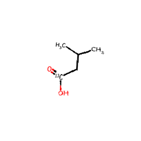 CC(C)C[13C](=O)O